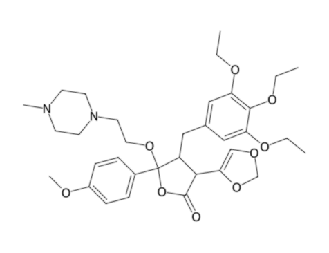 CCOc1cc(CC2C(C3=COCO3)C(=O)OC2(OCCN2CCN(C)CC2)c2ccc(OC)cc2)cc(OCC)c1OCC